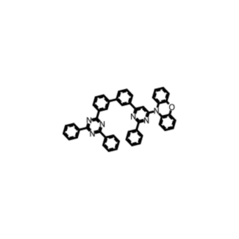 c1ccc(-c2nc(-c3cccc(-c4cccc(-c5nc(-c6ccccc6)nc(-c6ccccc6)n5)c4)c3)cc(N3c4ccccc4Oc4ccccc43)n2)cc1